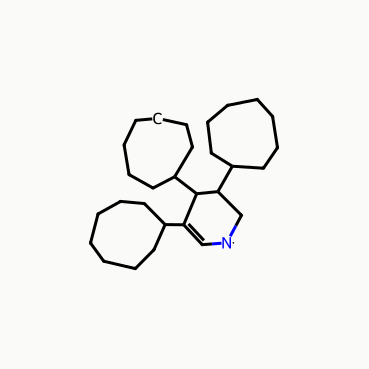 C1=C(C2CCCCCCC2)C(C2CCCCCCC2)C(C2CCCCCCC2)C[N]1